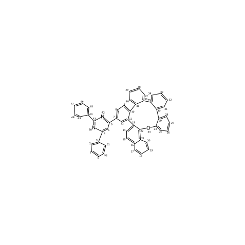 c1ccc(-c2cc(-c3ccc4c(c3)-c3ccc5ccccc5c3Oc3ccccc3-c3ccccc3-c3ccccc3-4)nc(-c3ccccc3)n2)cc1